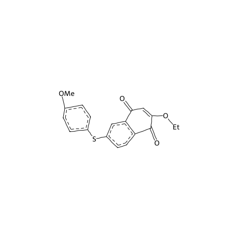 CCOC1=CC(=O)c2cc(Sc3ccc(OC)cc3)ccc2C1=O